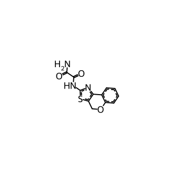 NC(=O)C(=O)Nc1nc2c(s1)COc1ccccc1-2